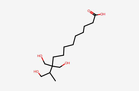 CC(CO)C(CO)(CO)CCCCCCCCC(=O)O